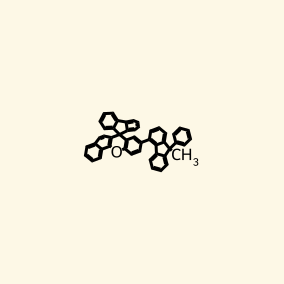 CC1(c2ccccc2)c2ccccc2-c2c(-c3ccc4c(c3)C3(c5ccccc5-c5ccccc53)c3ccc5ccccc5c3O4)cccc21